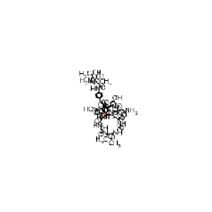 CC[C@H](C)[C@@H]1NC(=O)CNC(=O)[C@H]2Cc3c([nH]c4cc(OCc5ccc(NC(=O)[C@H](C)NC(=O)[C@@H](N)C(C)C)cc5)ccc34)[S+]([O-])C[C@H](NC(=O)CNC1=O)C(=O)NC(CC(N)=O)C(=O)N1C[C@H](O)CC1C(=O)N[C@@H]([C@@H](C)[C@@H](O)CO)C(=O)N2